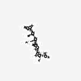 Cc1cc(N=Nc2c(S(=O)(=O)O)cc3c(S(=O)(=O)O)c(N=Nc4cc(S(=O)(=O)O)c5cc(SOOO)c(N=Nc6ccc([N+](=O)[O-])cc6S(=O)(=O)O)c(O)c5c4N)ccc3c2O)c(OCCCSOOO)cc1N=Nc1cc(C)c(N=Nc2cc(S(=O)(=O)O)cc3cc(S(=O)(=O)O)cc(O)c23)cc1OCC(=O)O